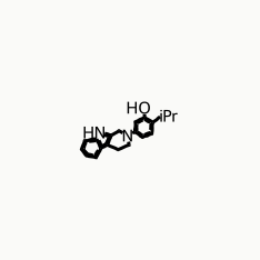 CC(C)c1ccc(N2CCc3c([nH]c4ccccc34)C2)cc1O